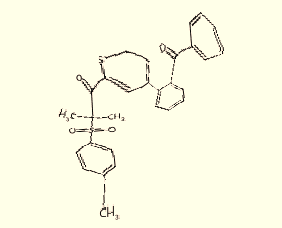 Cc1ccc(S(=O)(=O)C(C)(C)C(=O)C2=CC(c3ccccc3C(=O)c3ccccc3)=CCS2)cc1